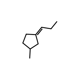 CCC=C1CCC(C)C1